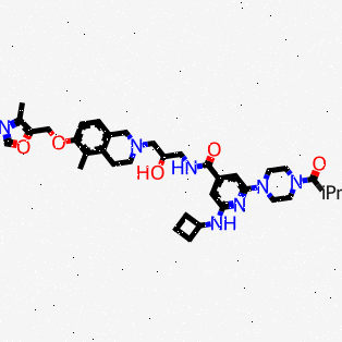 Cc1ncoc1COc1ccc2c(c1C)CCN(CC(O)CNC(=O)c1cc(NC3CCC3)nc(N3CCN(C(=O)C(C)C)CC3)c1)C2